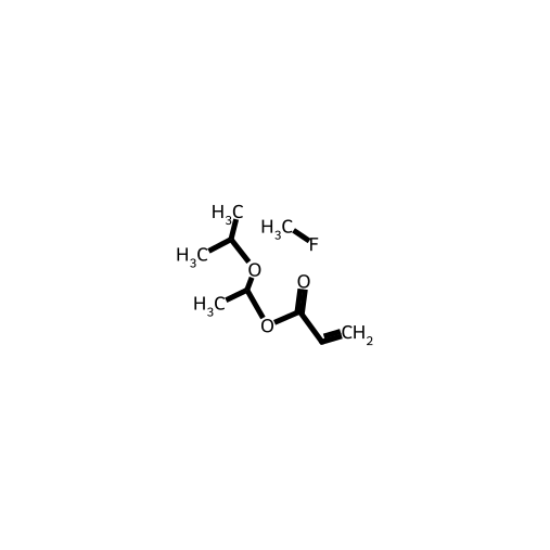 C=CC(=O)OC(C)OC(C)C.CF